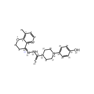 Cc1ccnc2c1OCC/C2=N/NC(=S)N1CCN(c2ccc(O)cc2)CC1